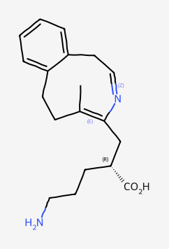 C/C1=C(C[C@@H](CCCN)C(=O)O)\N=C/Cc2ccccc2CC1